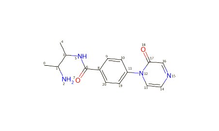 CC(N)C(C)NC(=O)c1ccc(-n2ccncc2=O)cc1